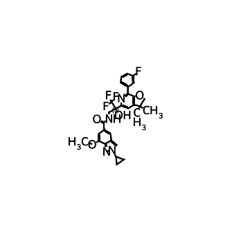 COc1cc(C(=O)NC[C@](O)(c2cc3c(c(-c4cccc(F)c4)n2)OCC3(C)C)C(F)(F)F)cc2cn(C3CC3)nc12